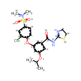 CC(C)Oc1cc(Oc2ccc(S(=O)(=O)N(C)C)cc2Cl)cc(C(=O)NC2=NCCS2)c1